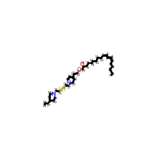 CCCCC/C=C\C/C=C\CCCCCCCC(=O)COCCC1CCN(CCSSCCN2CCC(CCC)CC2)CC1